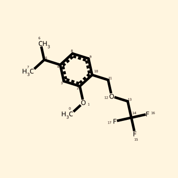 COc1cc(C(C)C)ccc1COCC(F)(F)F